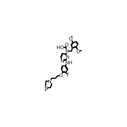 COc1ccc(OC)c(CN(C(=O)O)c2ccnc(Nc3ccc(OCCCN4CCN(C)CC4)c(F)c3)n2)c1